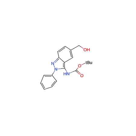 CC(C)(C)OC(=O)Nc1c2cc(CO)ccc2nn1-c1ccccc1